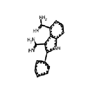 N=C(N)c1cccc2[nH]c(-c3ccccc3)c(C(=N)N)c12